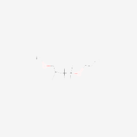 CC(C)CCOC(C)(C)C(C)(C)C(C)COC(C)C